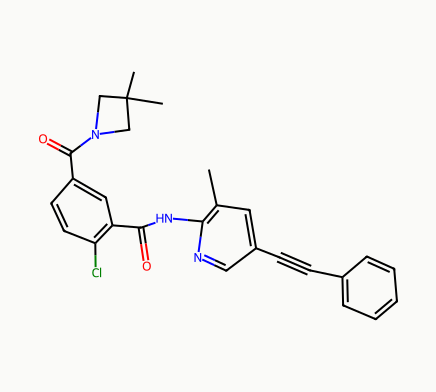 Cc1cc(C#Cc2ccccc2)cnc1NC(=O)c1cc(C(=O)N2CC(C)(C)C2)ccc1Cl